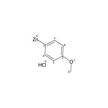 COc1cc[c]([Zn])cc1.Cl